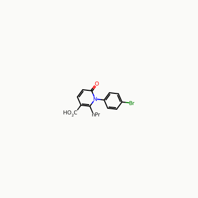 CCCc1c(C(=O)O)ccc(=O)n1-c1ccc(Br)cc1